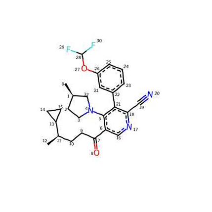 C[C@@H]1CCN(c2c(C(=O)CC[C@@H](C)C3CC3)cnc(C#N)c2-c2cccc(OC(F)F)c2)C1